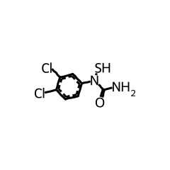 NC(=O)N(S)c1ccc(Cl)c(Cl)c1